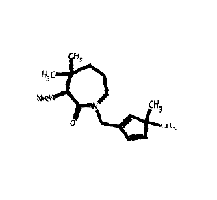 CNC1C(=O)N(CC2=CC(C)(C)C=C2)CCCC1(C)C